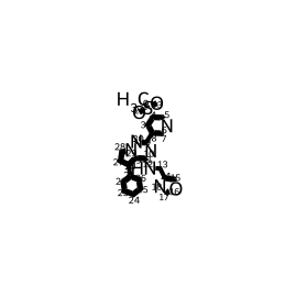 CS(=O)(=O)c1cncc(-c2nc(NCc3cocn3)c3c(-c4ccccc4)ccn3n2)c1